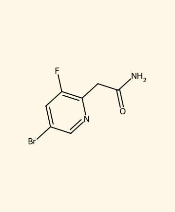 NC(=O)Cc1ncc(Br)cc1F